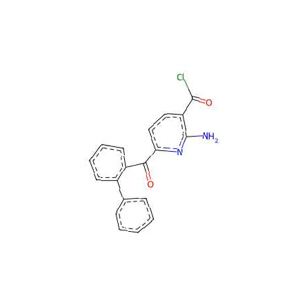 Nc1nc(C(=O)c2ccccc2-c2ccccc2)ccc1C(=O)Cl